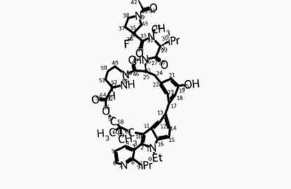 CCn1c(-c2cccnc2C(C)C)c2c3cc(ccc31)-c1cc(O)cc(c1)C[C@H](NC(=O)[C@H](C(C)C)N(C)C(=O)[C@@]1(F)CCN(C(=O)[C@H]3CN3)C1)C(=O)N1CCC[C@H](N1)C(=O)OCC(C)(C)C2